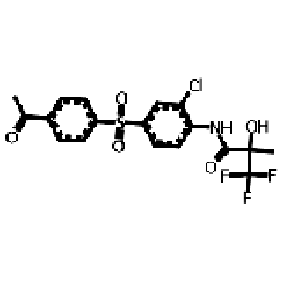 CC(=O)c1ccc(S(=O)(=O)c2ccc(NC(=O)C(C)(O)C(F)(F)F)c(Cl)c2)cc1